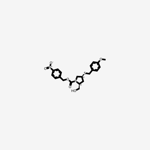 COc1ccc(CS[C@H]2C[C@@H](CO)N(C(=O)OCc3ccc([N+](=O)[O-])cc3)C2)cc1